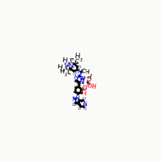 CN(c1ncc(-c2ccc(-n3ncc4ccncc43)cc2O)nn1)C1CC(C)(C)NC(C)(C)C1.O=CO